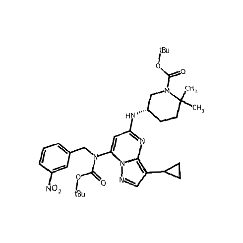 CC(C)(C)OC(=O)N(Cc1cccc([N+](=O)[O-])c1)c1cc(N[C@H]2CCC(C)(C)N(C(=O)OC(C)(C)C)C2)nc2c(C3CC3)cnn12